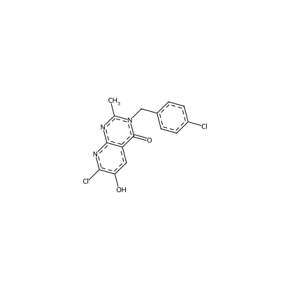 Cc1nc2nc(Cl)c(O)cc2c(=O)n1Cc1ccc(Cl)cc1